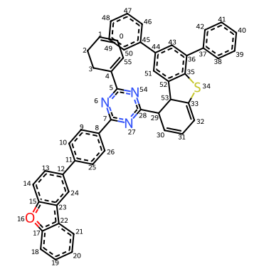 C1=CCCC(c2nc(-c3ccc(-c4ccc5oc6ccccc6c5c4)cc3)nc(C3C=CC=C4Sc5c(-c6ccccc6)cc(-c6ccccc6)cc5C43)n2)=C1